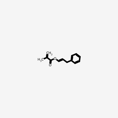 C=C(C)C(=O)OC=CCc1ccccc1